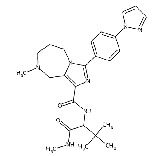 CNC(=O)C(NC(=O)c1nc(-c2ccc(-n3cccn3)cc2)n2c1CN(C)CCC2)C(C)(C)C